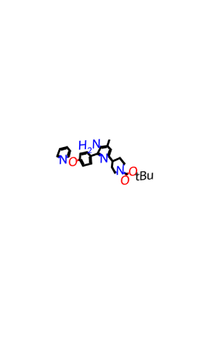 Cc1cc(C2CCN(C(=O)OC(C)(C)C)CC2)nc(-c2ccc(Oc3ccccn3)cc2)c1N